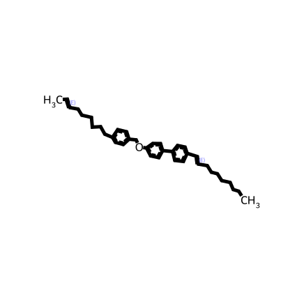 C/C=C/CCCCCCc1ccc(COc2ccc(-c3ccc(/C=C/CCCCCCCC)cc3)cc2)cc1